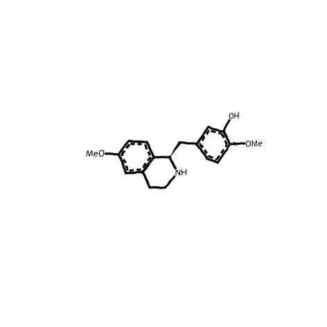 COc1ccc2c(c1)CCN[C@@H]2Cc1ccc(OC)c(O)c1